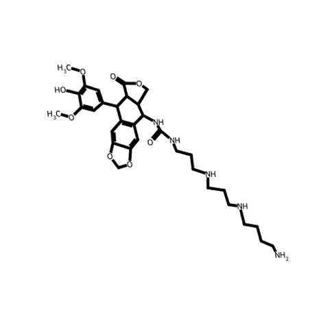 COc1cc(C2c3cc4c(cc3C(NC(=O)NCCCNCCCNCCCCN)C3COC(=O)C23)OCO4)cc(OC)c1O